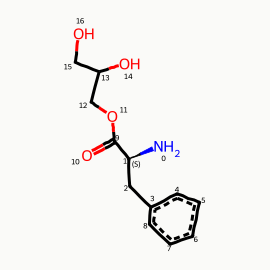 N[C@@H](Cc1ccccc1)C(=O)OCC(O)CO